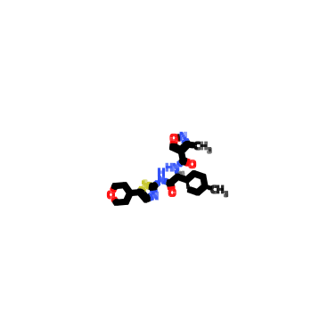 Cc1nocc1C(=O)N[C@H](C(=O)Nc1ncc(C2CCOCC2)s1)[C@H]1CC[C@H](C)CC1